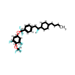 CCCCC1CCC(C(F)Cc2ccc(C(F)(F)Oc3cc(F)c(OC(F)(F)F)c(F)c3)cc2)CC1